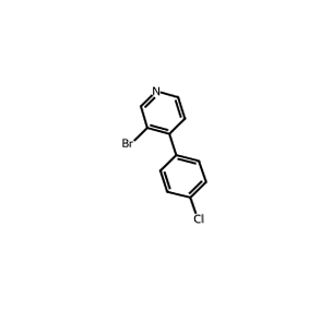 Clc1ccc(-c2ccncc2Br)cc1